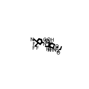 CCS(=O)(=O)N[C@@H]1C[C@@H]2C[C@H]1[C@@H]1CN(c3ccc(C#N)c(C(F)(F)F)c3)S(=O)(=O)[C@]21C